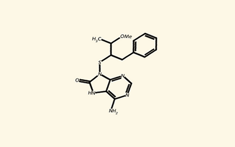 COC(C)C(Cc1ccccc1)Sn1c(=O)[nH]c2c(N)ncnc21